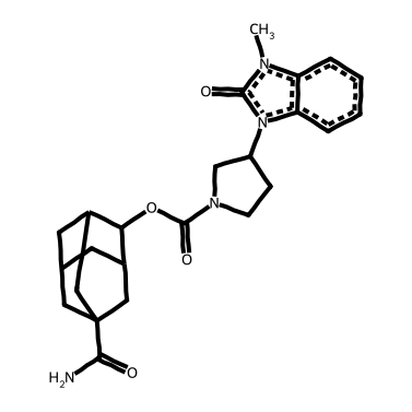 Cn1c(=O)n(C2CCN(C(=O)OC3C4CC5CC3CC(C(N)=O)(C5)C4)C2)c2ccccc21